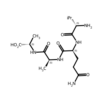 CC(C)[C@H](N)C(=O)N[C@@H](CCC(N)=O)C(=O)N[C@@H](C)C(=O)N[C@@H](C)C(=O)O